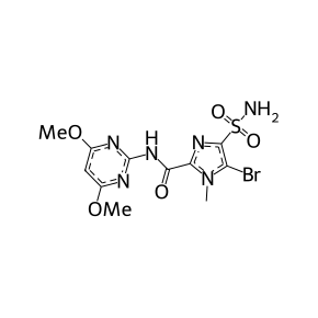 COc1cc(OC)nc(NC(=O)c2nc(S(N)(=O)=O)c(Br)n2C)n1